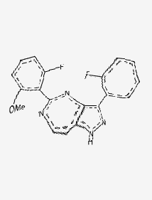 COc1cccc(F)c1-c1ncc2[nH]nc(-c3ccccc3F)c2n1